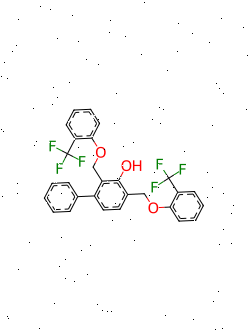 Oc1c(COc2ccccc2C(F)(F)F)ccc(-c2ccccc2)c1COc1ccccc1C(F)(F)F